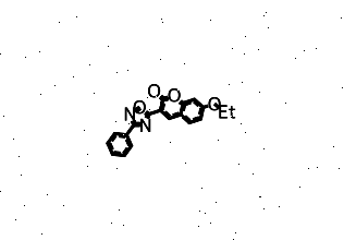 CCOc1ccc2cc(-c3nc(-c4ccccc4)no3)c(=O)oc2c1